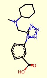 CN(Cc1nnnn1-c1cccc(C(=O)O)c1)C1CCCCC1